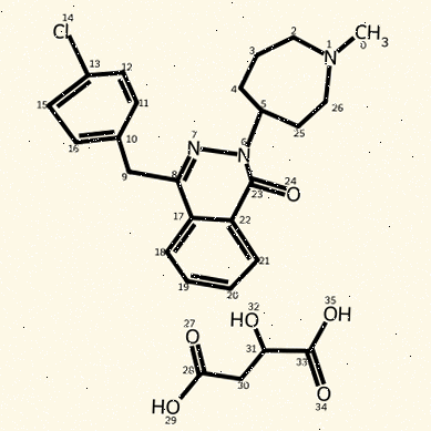 CN1CCCC(n2nc(Cc3ccc(Cl)cc3)c3ccccc3c2=O)CC1.O=C(O)CC(O)C(=O)O